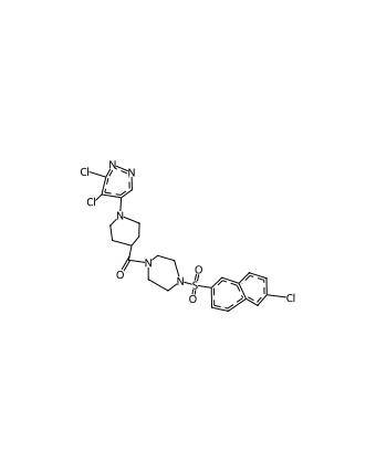 O=C(C1CCN(c2cnnc(Cl)c2Cl)CC1)N1CCN(S(=O)(=O)c2ccc3cc(Cl)ccc3c2)CC1